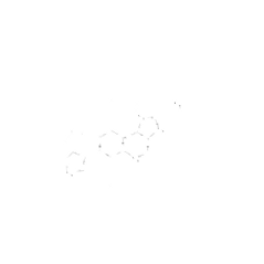 Cc1cc2c(cc1-c1c(C)noc1C)ncc1nc(CN3CCCCC3)n([C@@H](C)COC(F)F)c12